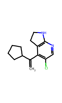 C=C(c1c(Cl)cnc2c1CCN2)C1CCCC1